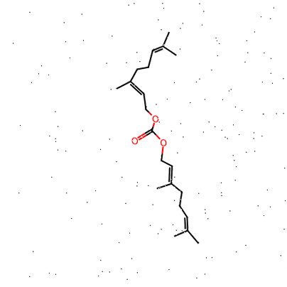 CC(C)=CCC/C(C)=C/COC(=O)OC/C=C(\C)CCC=C(C)C